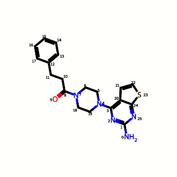 Nc1nc(N2CCN(C(=O)CCc3ccccc3)CC2)c2ccsc2n1